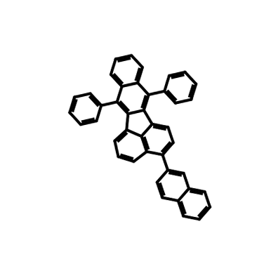 c1ccc(-c2c3c(c(-c4ccccc4)c4ccccc24)-c2ccc(-c4ccc5ccccc5c4)c4cccc-3c24)cc1